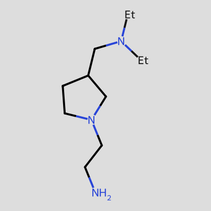 CCN(CC)CC1CCN(CCN)C1